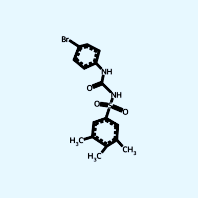 Cc1cc(S(=O)(=O)NC(=O)Nc2ccc(Br)cc2)cc(C)c1C